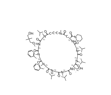 CC(C)C[C@@H]1NC(=O)[C@H](Cc2ccccc2)N(C)C(=O)[C@H](Cc2ccccc2)N(C)C(=O)[C@H](COCC(C)(C)CO)NC(=O)[C@H](CC(C)C)N(C)C(=O)CCCN(C)C(=O)C[C@@H](C(=O)N2CCCCC2)NC(=O)[C@H](CC(C)C)N(C)C(=O)[C@H](CC(C)C)N(C)C(=O)[C@H]([C@@H](C)O)NC(=O)[C@H](CC(C)C)N(C)C1=O